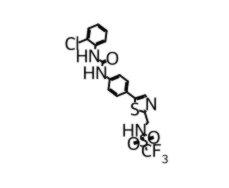 O=C(Nc1ccc(-c2cnc(CNS(=O)(=O)C(F)(F)F)s2)cc1)Nc1ccccc1Cl